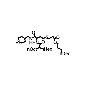 CCCCCCCCCCCCCOC(=O)CCSCCC(NC(=O)C(CCCCCC)CCCCCCCC)C(=O)NCC1CCN(C)CC1